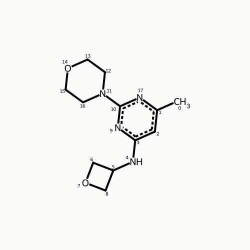 Cc1cc(NC2COC2)nc(N2CCOCC2)n1